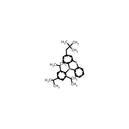 CC(C)c1cc(C(C)C)c(B2c3ccccc3Sc3cc(CC(C)(C)C)ccc32)c(C(C)C)c1